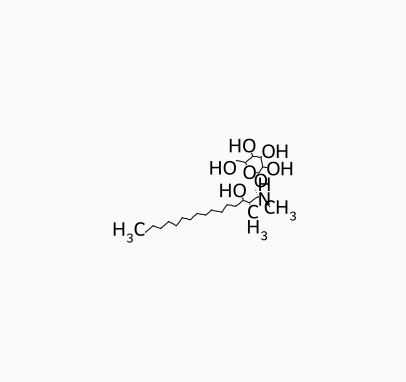 CCCCCCCCCCCCCC[C@@H](O)[C@@H](C)[C@H](COC1OC(CO)C(O)C(O)C1O)NC